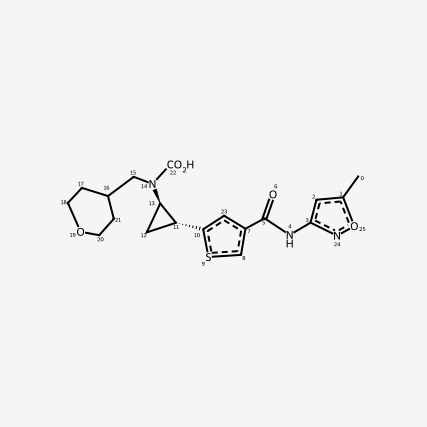 Cc1cc(NC(=O)c2csc([C@@H]3C[C@H]3N(CC3CCOCC3)C(=O)O)c2)no1